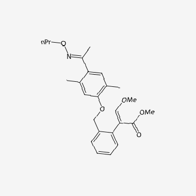 CCCON=C(C)c1cc(C)c(OCc2ccccc2C(=COC)C(=O)OC)cc1C